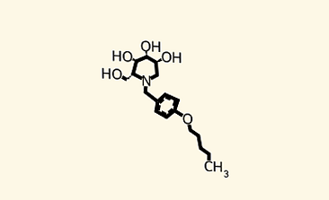 CCCCCOc1ccc(CN2C[C@H](O)[C@@H](O)[C@H](O)[C@H]2CO)cc1